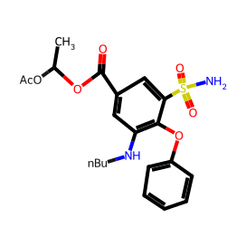 CCCCNc1cc(C(=O)OC(C)OC(C)=O)cc(S(N)(=O)=O)c1Oc1ccccc1